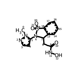 Cn1nccc1N1C(CC(=O)NO)c2ccccc2S1(=O)=O